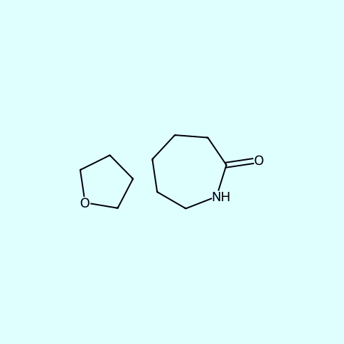 C1CCOC1.O=C1CCCCCN1